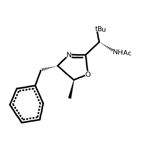 CC(=O)N[C@H](C1=N[C@@H](Cc2ccccc2)[C@H](C)O1)C(C)(C)C